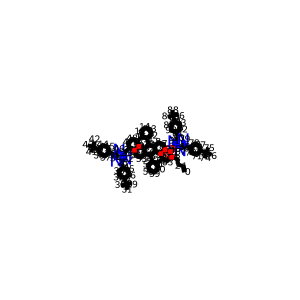 C=CCCCOc1ccc2c(-c3ccccc3-c3ccc(-c4nc(-c5ccc(C(C)(C)C)cc5)nc(-c5ccc(C(C)(C)C)cc5)n4)cc3)c3ccccc3c(-c3ccccc3-c3ccc(-c4nc(-c5ccc(C(C)(C)C)cc5)nc(-c5ccc(C(C)(C)C)cc5)n4)cc3)c2c1